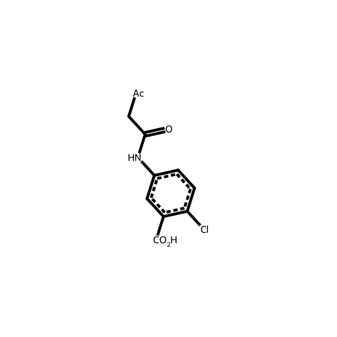 CC(=O)CC(=O)Nc1ccc(Cl)c(C(=O)O)c1